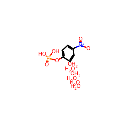 O.O.O.O.O.O.O=[N+]([O-])c1ccc(OP(=O)(O)O)cc1